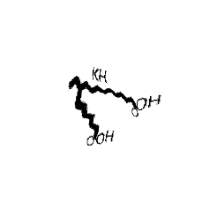 CCC(CCCCCCCCCC(=O)O)CCCCCCC(=O)O.[KH]